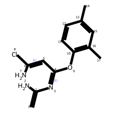 C=C(N)/N=C(\C=C(/N)Cl)Oc1ccc(C)cc1C